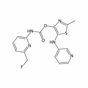 Cc1nc(OC(=O)Nc2cccc(CF)n2)c(Nc2cccnc2)s1